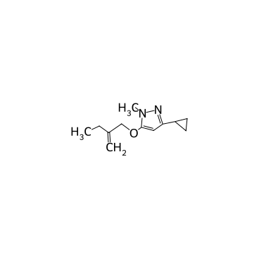 C=C(CC)COc1cc(C2CC2)nn1C